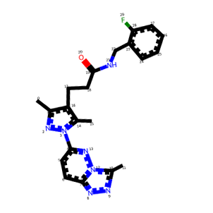 Cc1nn(-c2ccc3nnc(C)n3n2)c(C)c1CCC(=O)NCc1ccccc1F